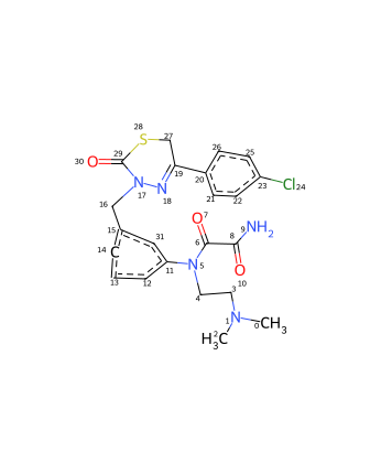 CN(C)CCN(C(=O)C(N)=O)c1cccc(CN2N=C(c3ccc(Cl)cc3)CSC2=O)c1